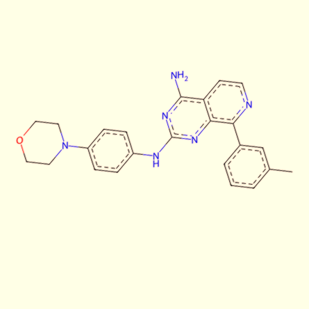 Cc1cccc(-c2nccc3c(N)nc(Nc4ccc(N5CCOCC5)cc4)nc23)c1